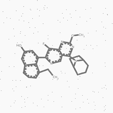 CCc1cccc2cc(O)cc(-c3ncc4c(N5C6CCCC5CC6)nc(OC)nc4c3F)c12